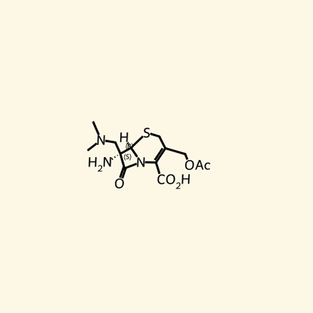 CC(=O)OCC1=C(C(=O)O)N2C(=O)[C@@](N)(CN(C)C)[C@H]2SC1